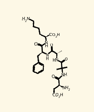 C[C@H](NC(=O)C(C)(C)NC(=O)[C@@H](N)CC(=O)O)C(=O)N[C@@H](Cc1ccccc1)C(=O)N[C@@H](CCCCN)C(=O)O